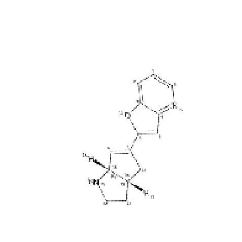 C1=C(c2cc3ncccc3o2)C[C@@H]2CCN[C@H]12